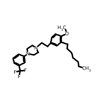 CCCCCCCc1cc(CCN2CCN(c3cccc(C(F)(F)F)c3)CC2)ccc1OC